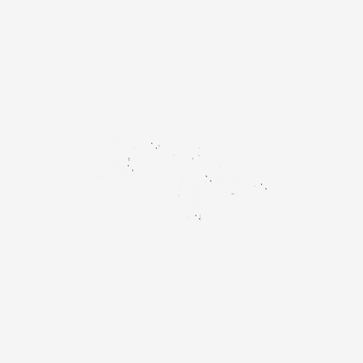 N#Cc1ccc(-c2cccc(C#N)c2-c2cccc(-n3c4c(c5ccccc53)C=CCC4)c2)c(-n2c3ccccc3c3cc(C#N)ccc32)c1